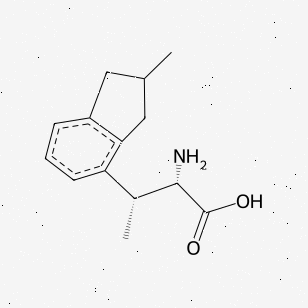 CC1Cc2cccc([C@@H](C)[C@H](N)C(=O)O)c2C1